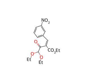 CCOC(=O)C(=Cc1cccc([N+](=O)[O-])c1)C(=O)C(OCC)OCC